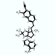 CC1(C)O[C@@H]2[C@@](C)(CCc3ccc4cc(C#N)c(N)nc4c3)CC[C@@]2(n2ccc3c(N)ncnc32)O1